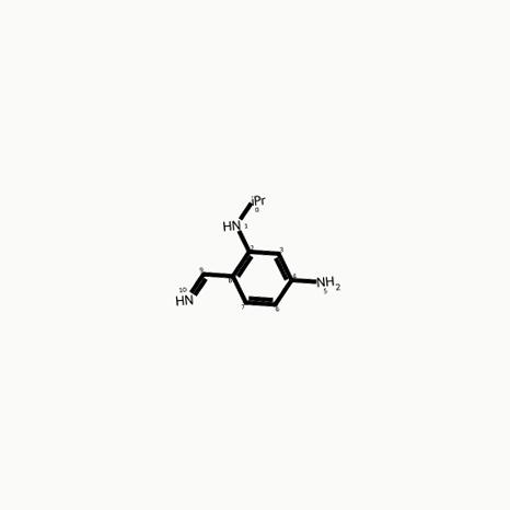 CC(C)Nc1cc(N)ccc1C=N